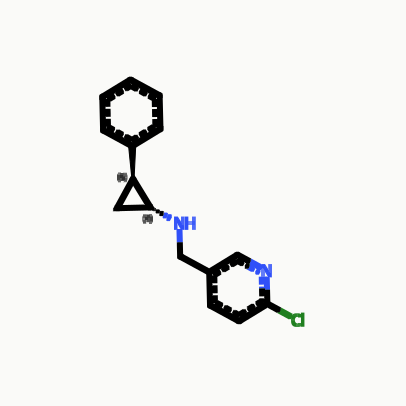 Clc1ccc(CN[C@@H]2C[C@H]2c2ccccc2)cn1